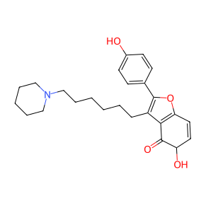 O=C1c2c(oc(-c3ccc(O)cc3)c2CCCCCCN2CCCCC2)C=CC1O